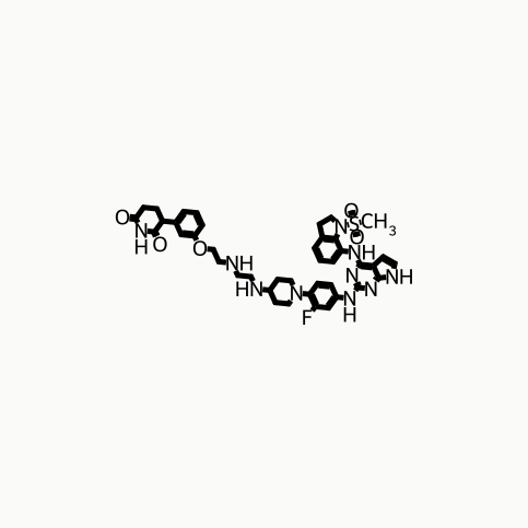 CS(=O)(=O)N1CCc2cccc(Nc3nc(Nc4ccc(N5CCC(NCCNCCOc6cccc(C7CCC(=O)NC7=O)c6)CC5)c(F)c4)nc4[nH]ccc34)c21